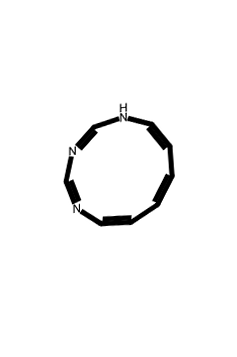 C1=CC=CNC=NC=NC=C1